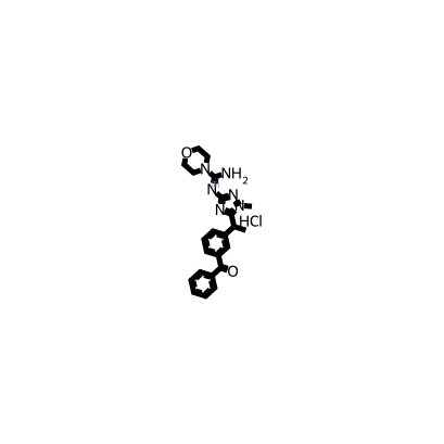 CC(c1cccc(C(=O)c2ccccc2)c1)c1nc(/N=C(\N)N2CCOCC2)nn1C.Cl